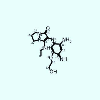 CCNc1c(/N=C2\C=C(OCCO)C(=N)C=C2N)c(=O)n2n1CCC2